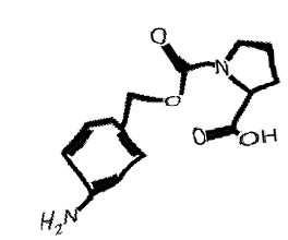 Nc1ccc(COC(=O)N2CCCC2C(=O)O)cc1